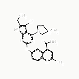 CCc1[nH]c2nc(Sc3ccc4nc(C)cc(C(N)=O)c4c3)nc(N3CC[C@H](N)C3)c2c1Cl